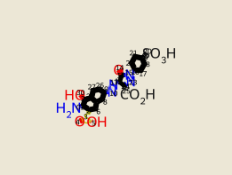 Nc1c(S(=O)O)cc2cc(/N=N/C3C(=O)N(c4ccc(S(=O)(=O)O)cc4)N=C3C(=O)O)ccc2c1O